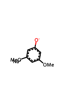 COc1cc([O-])cc(OC)c1.[Na+]